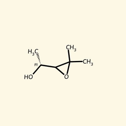 C[C@@H](O)C1OC1(C)C